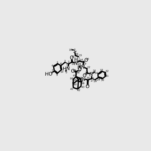 CN[C@@H](Cc1ccc(O)cc1)C(=O)N[C@H](CCSC)C(=O)NCC(=O)N(C)[C@@H](Cc1ccccc1)C(=O)NC12CC3CC(C1)CC(C(=O)OC)(C3)C2